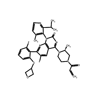 C=CC(=O)N1CCN(c2nc(=O)n(-c3c(C)ccnc3C(C)C)c3nc(-c4c(F)cccc4SC4COC4)c(F)cc23)[C@@H](C)C1